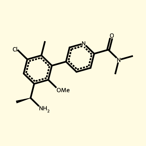 COc1c([C@H](C)N)cc(Cl)c(C)c1-c1ccc(C(=O)N(C)C)nc1